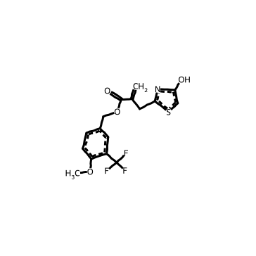 C=C(Cc1nc(O)cs1)C(=O)OCc1ccc(OC)c(C(F)(F)F)c1